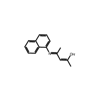 C/C(O)=C/C(C)=N/c1cccc2ccccc12